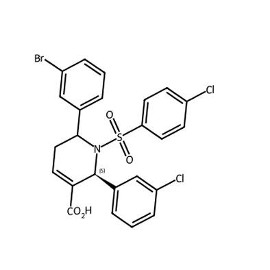 O=C(O)C1=CCC(c2cccc(Br)c2)N(S(=O)(=O)c2ccc(Cl)cc2)[C@H]1c1cccc(Cl)c1